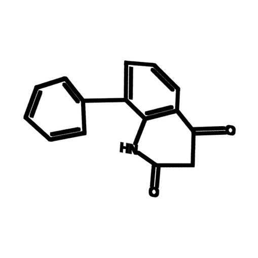 O=C1CC(=O)c2cccc(-c3ccccc3)c2N1